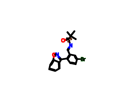 CC(C)(C)[S@+]([O-])N=Cc1cc(Br)ccc1-c1noc2ccccc12